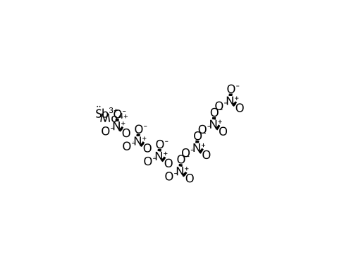 O=[N+]([O-])[O-].O=[N+]([O-])[O-].O=[N+]([O-])[O-].O=[N+]([O-])[O-].O=[N+]([O-])[O-].O=[N+]([O-])[O-].O=[N+]([O-])[O-].[Mo+4].[Sb+3]